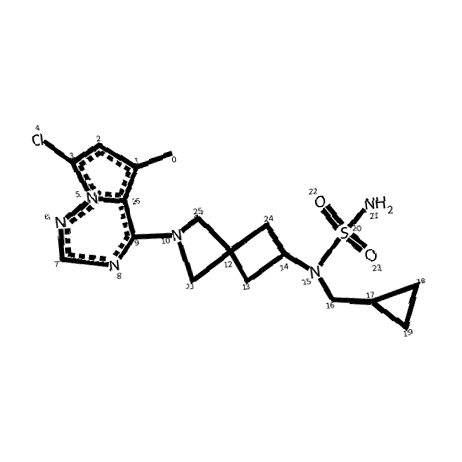 Cc1cc(Cl)n2ncnc(N3CC4(CC(N(CC5CC5)S(N)(=O)=O)C4)C3)c12